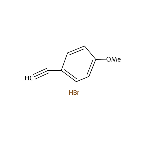 Br.C#Cc1ccc(OC)cc1